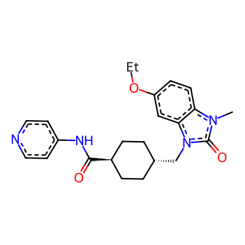 CCOc1ccc2c(c1)n(C[C@H]1CC[C@H](C(=O)Nc3ccncc3)CC1)c(=O)n2C